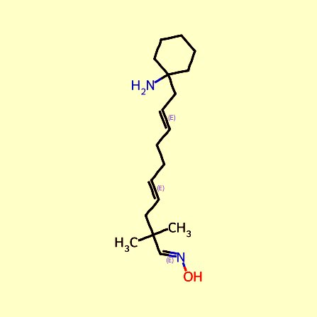 CC(C)(/C=N/O)C/C=C/CC/C=C/CC1(N)CCCCC1